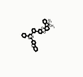 CC1(C)c2ccccc2-c2c1ccc1c2Oc2cc(-c3cccc(-c4cc(-c5ccccc5)nc(-c5ccc6c(c5)sc5ccccc56)n4)c3)ccc2O1